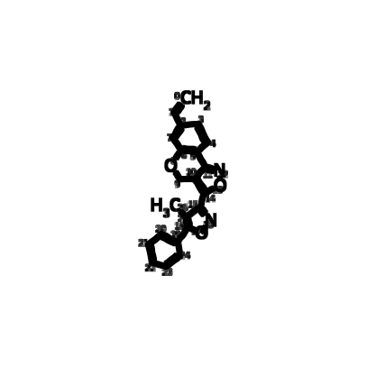 C=Cc1ccc2c(c1)OCc1c-2noc1-c1noc(-c2ccccc2)c1C